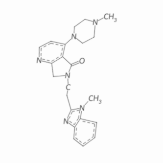 CN1CCN(c2ccnc3c2C(=O)N(CCc2nc4ccccc4n2C)C3)CC1